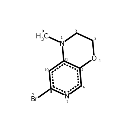 CN1CCOc2cnc(Br)cc21